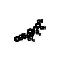 C=C1C(=CC=C2CCC[C@]3(C)C([C@H](C)OCC(=O)OC4(C)CCCCC4)=CC[C@@H]23)C[C@@H](O)C[C@@H]1O